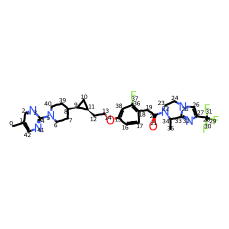 Cc1cnc(N2CCC([C@H]3C[C@H]3CCOc3ccc(CC(=O)N4CCn5cc(C(F)(F)F)nc5C4C)c(F)c3)CC2)nc1